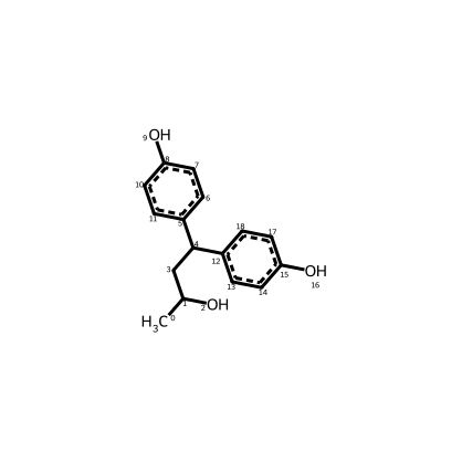 CC(O)CC(c1ccc(O)cc1)c1ccc(O)cc1